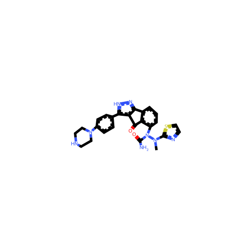 CN(c1nccs1)N(C(N)=O)c1cccc2c1C(=O)c1c-2n[nH]c1-c1ccc(N2CCNCC2)cc1